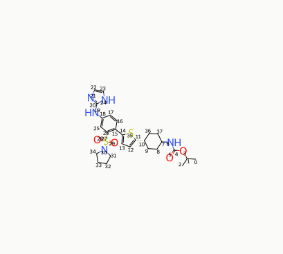 CC(C)OC(=O)N[C@H]1CC[C@H](c2ccc(-c3ccc(Nc4ncc[nH]4)cc3S(=O)(=O)N3CCCC3)s2)CC1